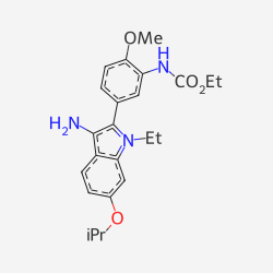 CCOC(=O)Nc1cc(-c2c(N)c3ccc(OC(C)C)cc3n2CC)ccc1OC